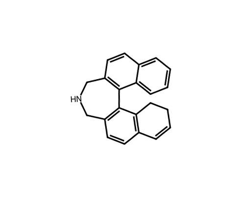 C1=Cc2ccc3c(c2CC1)-c1c(ccc2ccccc12)CNC3